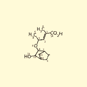 CC(=CC(C)OC1C2CCC(C2)C1O)C(=O)O